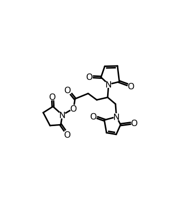 O=C(CCC(CN1C(=O)C=CC1=O)N1C(=O)C=CC1=O)ON1C(=O)CCC1=O